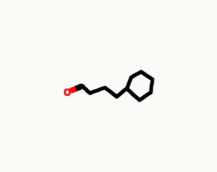 O=[C]CCCC1CCCCC1